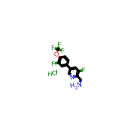 Cl.NCc1ncc(-c2ccc(OC(F)(F)F)c(F)c2)cc1F